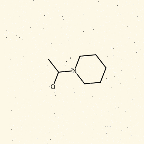 CC([O])N1CCCCC1